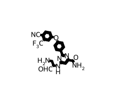 N#Cc1ccc(Oc2ccc(-c3nc(NC(C=O)CN)cc(C(N)=O)n3)cc2)cc1C(F)(F)F